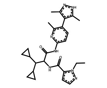 CCn1nccc1C(=O)NC(C(=O)Nc1ccc(-c2c(C)n[nH]c2C)c(C)n1)C(C1CC1)C1CC1